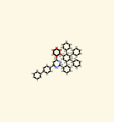 c1ccc(-c2ccc(-c3cc(-c4ccccc4)nc(-c4ccccc4-c4cc(-c5ccccc5)c(-c5ccccc5)c(-c5ccccc5)c4-c4ccccc4)n3)cc2)cc1